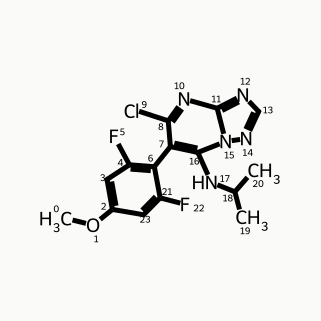 COc1cc(F)c(-c2c(Cl)nc3ncnn3c2NC(C)C)c(F)c1